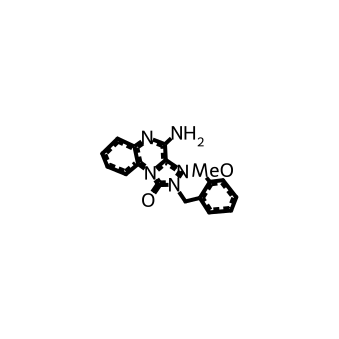 COc1ccccc1Cn1nc2c(N)nc3ccccc3n2c1=O